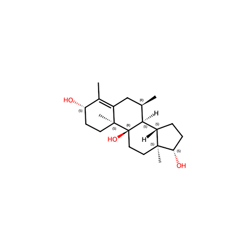 CC1=C2C[C@@H](C)[C@H]3[C@@H]4CC[C@H](O)[C@@]4(C)CC[C@]3(O)[C@@]2(C)CC[C@@H]1O